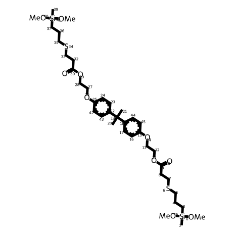 CO[Si](C)(CCCSCCC(=O)OCCOc1ccc(C(C)(C)c2ccc(OCCOC(=O)CCSCCC[Si](C)(OC)OC)cc2)cc1)OC